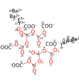 O=C([O-])OC(=O)OC(=O)OC(=O)OC(=O)[O-].O=C([O-])OC(=O)OC(=O)OC(=O)OC(=O)[O-].O=C([O-])[O-].[Ba+2].[Ba+2].[Ba+2].[Ba+2].[Y+3].[Y+3].[Y+3].[Y+3]